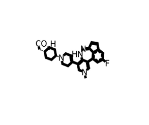 CN1C=C2C(=C(C3=CCN([C@H]4CC[C@@H](CC(=O)O)CC4)CC3)C1)NN=C1C=Cc3cc(F)cc2c31